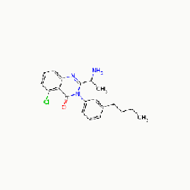 CCCCc1cccc(-n2c(C(C)N)nc3cccc(Cl)c3c2=O)c1